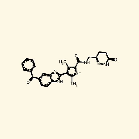 Cc1[nH]c(C(=O)NCC2=NNC(=O)CC2)c(C)c1-c1nc2cc(C(=O)c3ccccc3)ccc2[nH]1